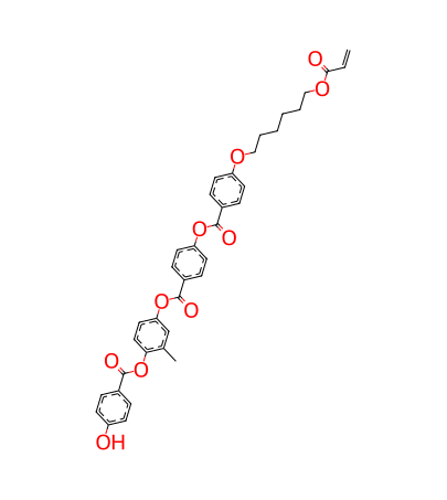 C=CC(=O)OCCCCCCOc1ccc(C(=O)Oc2ccc(C(=O)Oc3ccc(OC(=O)c4ccc(O)cc4)c(C)c3)cc2)cc1